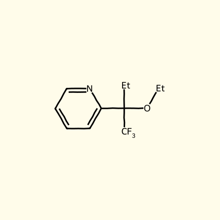 CCOC(CC)(c1ccccn1)C(F)(F)F